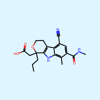 CCCC1(CC(=O)O)OCCc2c1[nH]c1c(C)c(C(=O)NC)cc(C#N)c21